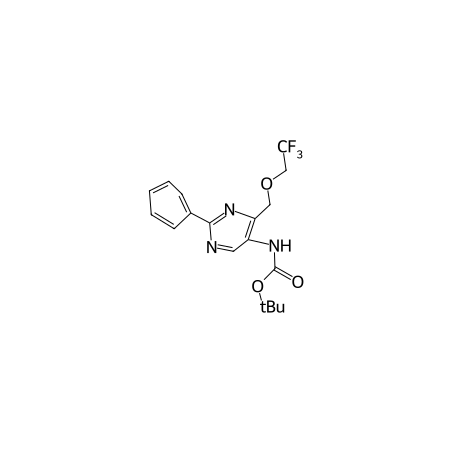 CC(C)(C)OC(=O)Nc1cnc(-c2ccccc2)nc1COCC(F)(F)F